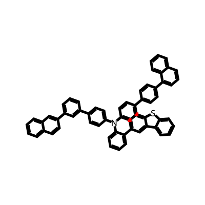 c1cc(-c2ccc(N(c3ccc(-c4ccc(-c5cccc6ccccc56)cc4)cc3)c3ccccc3-c3ccc4sc5ccccc5c4c3)cc2)cc(-c2ccc3ccccc3c2)c1